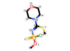 COP(=S)(Cl)/N=C(\SC)N1CCOCC1